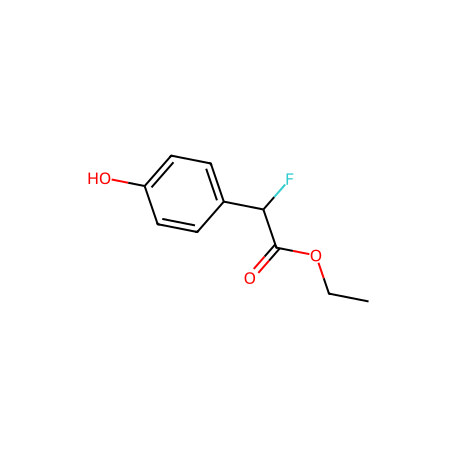 CCOC(=O)C(F)c1ccc(O)cc1